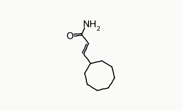 NC(=O)C=CC1CCCCCCC1